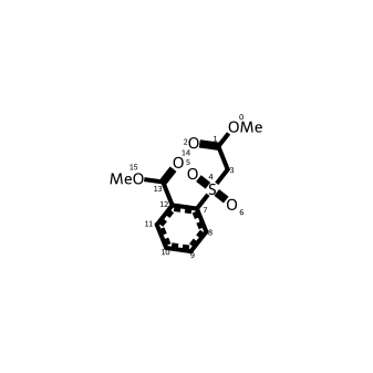 COC(=O)CS(=O)(=O)c1ccccc1C(=O)OC